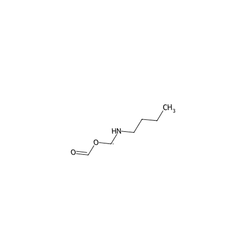 CCCCN[CH]OC=O